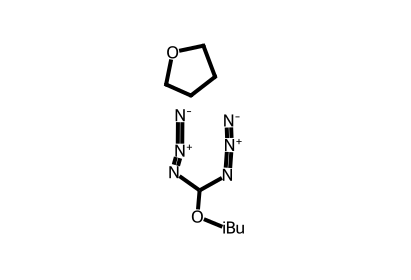 C1CCOC1.CCC(C)OC(N=[N+]=[N-])N=[N+]=[N-]